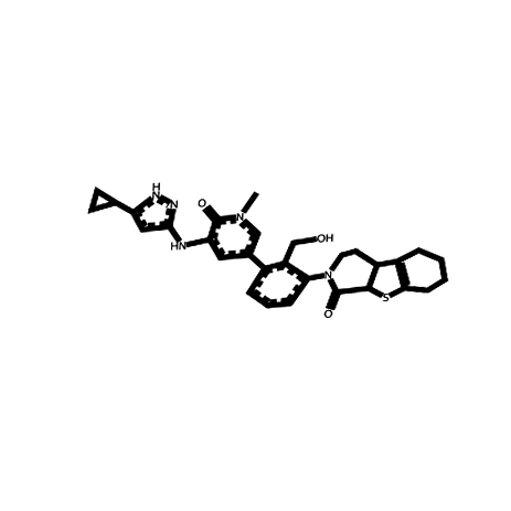 Cn1cc(-c2cccc(N3CCC4C5=C(CCCC5)SC4C3=O)c2CO)cc(Nc2cc(C3CC3)[nH]n2)c1=O